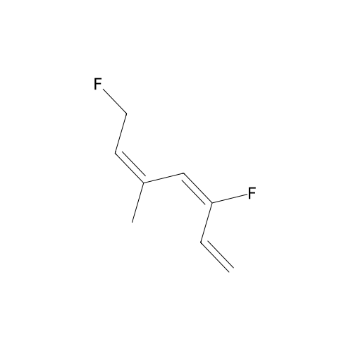 C=C/C(F)=C\C(C)=C/CF